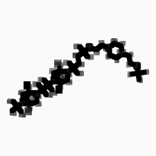 CC(C)(C)OCCN1CCN(CCOC(C)(C)CCC(C)(C)N2C[C@H]3C[C@@H]2CN3C(C)(C)C(C)(C)N2C[C@@H]3C[C@H]2CN3C(C)(C)C)CC1